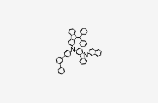 C1=CCCC(/C(C2=CCCC=C2)=C2/c3ccccc3-c3ccc(N(c4ccc(-c5cccc(-c6ccccc6)c5)cc4)c4ccc5c(c4)c4ccccc4n5-c4ccc5ccccc5c4)cc32)=C1